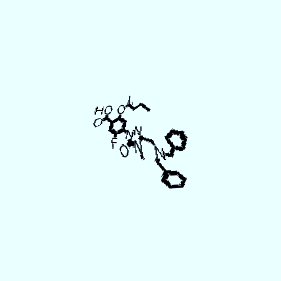 CCC[C@H](C)Oc1cc(-n2nc(CN(Cc3ccccc3)Cc3ccccc3)n(C)c2=O)c(F)cc1C(=O)O